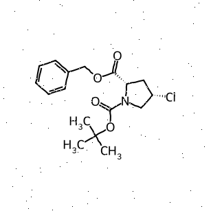 CC(C)(C)OC(=O)N1C[C@@H](Cl)C[C@H]1C(=O)OCc1ccccc1